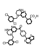 O=C(O)c1ccccc1-c1cnc2c(c1)N(Cc1cc(Cl)ccc1Cl)CCN2.O=C(c1cnc2c(c1)N(Cc1cc(Cl)ccc1Cl)CCN2)N1CCN(c2ncnc3ccsc23)CC1